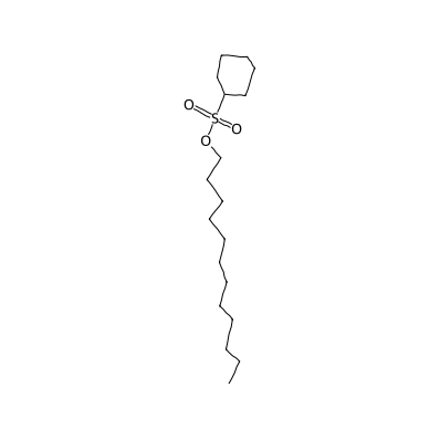 CCCCCCCCCCCCOS(=O)(=O)C1CCCCC1